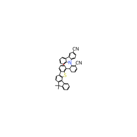 CC1(C)c2ccccc2-c2c1ccc1c2sc2c(C3CC=CC(C#N)=C3n3c4ccccc4c4cc(C#N)ccc43)cccc21